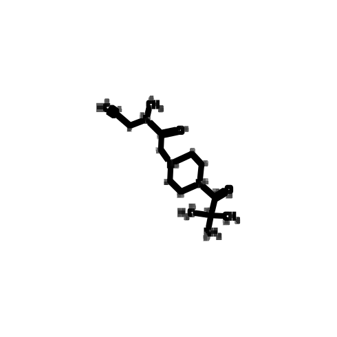 C#CCN(C)C(=O)CN1CCN(C(=O)C(C)(C)N)CC1